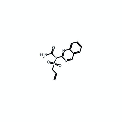 C=CCS(=O)(=O)N(C(N)=O)c1ncc2ccccc2n1